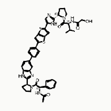 CC(=O)N[C@@H](C(=O)N1CCCC1c1nc2cc(-c3ccc(-c4cc5sc(-c6cnc([C@@H]7CCCN7C(=O)[C@@H](NC(=O)CO)C(C)C)[nH]6)cc5s4)cc3)ccc2[nH]1)c1ccccc1